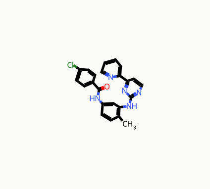 Cc1ccc(NC(=O)c2ccc(Cl)cc2)cc1Nc1nccc(-c2ccccn2)n1